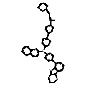 C/C(=C\C=C1\C=CC=CC1)c1c#cc(-c2ccc(N(c3ccc(-c4cccc5c6c(oc45)C=CCC6)cc3)c3ccc4ccccc4c3)cc2)cc1